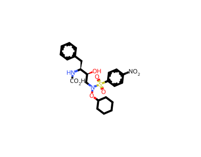 O=C(O)N[C@@H](Cc1ccccc1)[C@@H](O)CN(OC1CCCCC1)S(=O)(=O)c1ccc([N+](=O)[O-])cc1